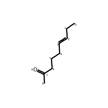 CC/C=C/CCCC(C)=O